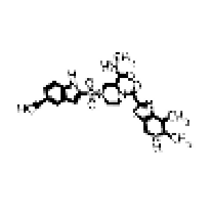 C#Cc1ccc2[nH]c(S(=O)(=O)N3CCN(C(=O)c4nc5c(s4)CNC(C)C5C)C(C(=O)NC)C3)cc2c1